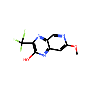 COc1cc2nc(O)c(C(F)(F)F)nc2cn1